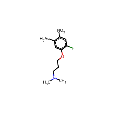 CN(C)CCCOc1cc([AsH2])c([N+](=O)[O-])cc1F